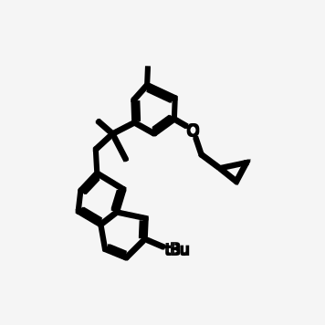 Cc1cc(OCC2CC2)cc(C(C)(C)Cc2ccc3ccc(C(C)(C)C)cc3c2)c1